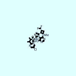 COc1ncnc(OC)c1-n1c(NS(=O)(=O)C(C)C(C)c2ncc(Cl)cn2)nnc1[C@H]1CC[C@H]1C(F)F